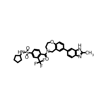 Cc1nc2ccc(-c3ccc4c(c3)CN(C(=O)c3ccc(S(=O)(=O)NC5CCCC5)cc3C(F)(F)F)CCO4)cc2[nH]1